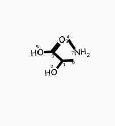 CC(O)C(=O)O.CN